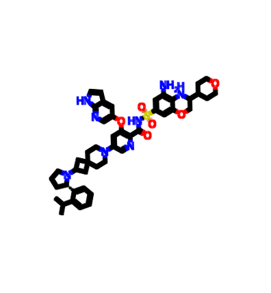 CC(C)c1ccccc1[C@@H]1CCCN1C1CC2(CCN(c3cnc(C(=O)NS(=O)(=O)c4cc(N)c5c(c4)OCC(C4CCOCC4)N5)c(Oc4cnc5[nH]ccc5c4)c3)CC2)C1